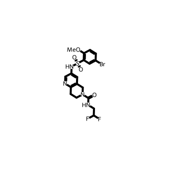 COc1ccc(Br)cc1S(=O)(=O)Nc1cnc2c(c1)CN(C(=O)NCC(F)F)CC2